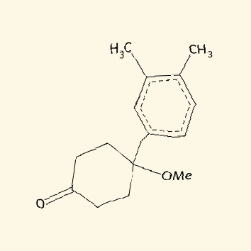 COC1(c2ccc(C)c(C)c2)CCC(=O)CC1